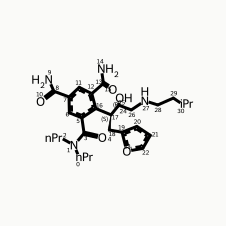 CCCN(CCC)C(=O)c1cc(C(N)=O)cc(C(N)=O)c1[C@H](Cc1ccco1)[C@@H](O)CNCCC(C)C